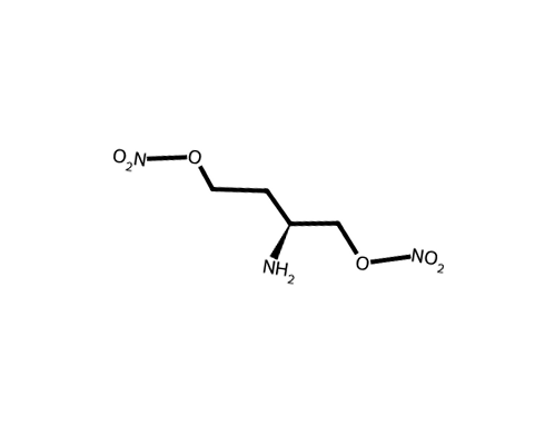 N[C@@H](CCO[N+](=O)[O-])CO[N+](=O)[O-]